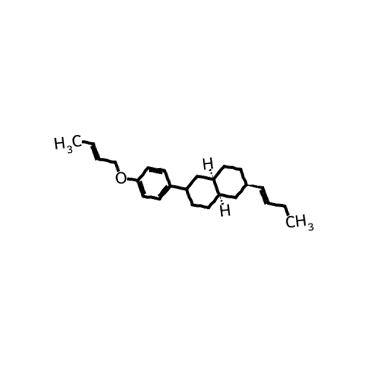 C/C=C/COc1ccc(C2CC[C@@H]3C[C@H](C=CCC)CC[C@@H]3C2)cc1